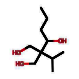 CCCC(O)C(CO)(CO)C(C)C